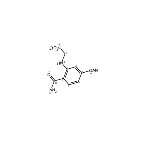 CCOC(=O)CNc1cc(OC)ccc1C(N)=O